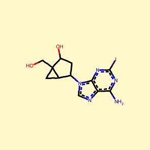 Nc1nc(I)nc2c1ncn2C1CC(O)C2(CO)CC12